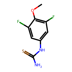 COc1c(F)cc(NC(N)=S)cc1F